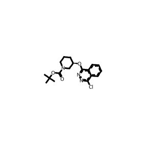 CC(C)(C)OC(=O)N1CCC[C@@H](Oc2nnc(Cl)c3ccccc23)C1